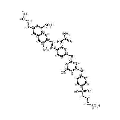 NC(=O)Nc1cc(Nc2nc(Cl)nc(Nc3ccc(S(=O)(=O)CCOS(=O)(=O)O)cc3)n2)ccc1N=Nc1cc2c(S(=O)(=O)O)cc(SOOO)cc2cc1S(=O)(=O)O